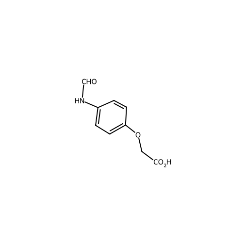 O=CNc1ccc(OCC(=O)O)cc1